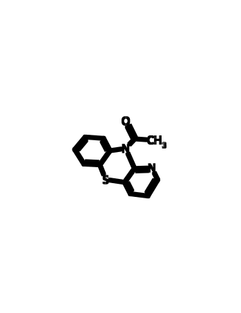 CC(=O)N1c2ccccc2Sc2cccnc21